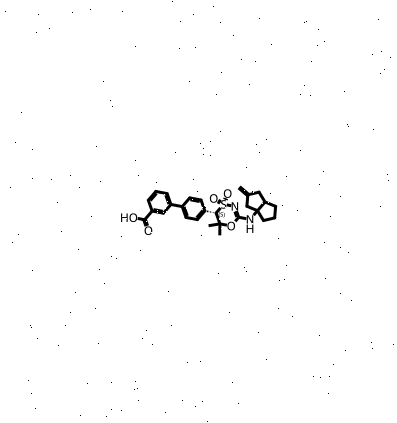 C=C1CC2CCCC2(NC2=NS(=O)(=O)[C@@H](c3ccc(-c4cccc(C(=O)O)c4)cc3)C(C)(C)O2)C1